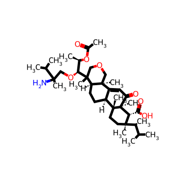 CC(=O)O[C@H](C)[C@H](OCC(C)(N)C(C)C)C1(C)COC[C@@]2(C)C3=CC(=O)[C@@]4(C)[C@H](C(=O)O)[C@@](C)([C@H](C)C(C)C)CC[C@]4(C)[C@H]3CC[C@@H]12